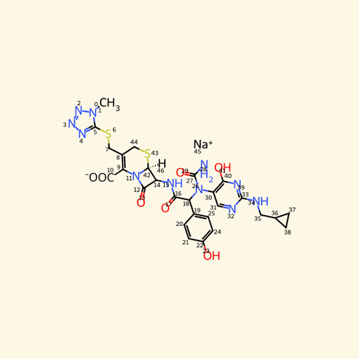 Cn1nnnc1SCC1=C(C(=O)[O-])N2C(=O)C(NC(=O)C(c3ccc(O)cc3)N(C(N)=O)c3cnc(NCC4CC4)nc3O)[C@@H]2SC1.[Na+]